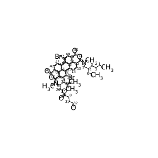 CCCCC(CC)CN(C)C(=O)c1ccc2c3c(Br)cc(C(=O)N(C)C(COC(=O)CCC=O)CC(C)C)c4c(C=O)ccc(c5c(Br)cc(C=O)c1c25)c43